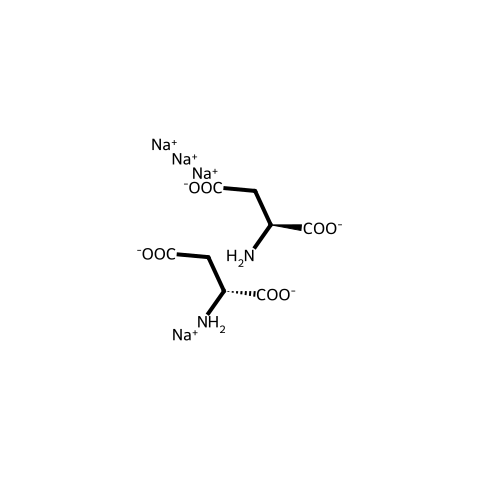 N[C@@H](CC(=O)[O-])C(=O)[O-].N[C@H](CC(=O)[O-])C(=O)[O-].[Na+].[Na+].[Na+].[Na+]